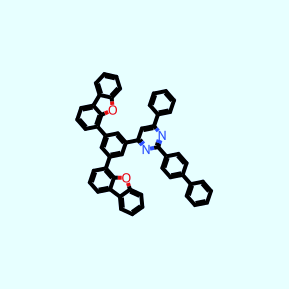 c1ccc(-c2ccc(-c3nc(-c4ccccc4)cc(-c4cc(-c5cccc6c5oc5ccccc56)cc(-c5cccc6c5oc5ccccc56)c4)n3)cc2)cc1